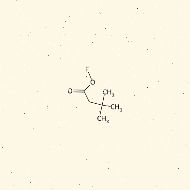 CC(C)(C)CC(=O)OF